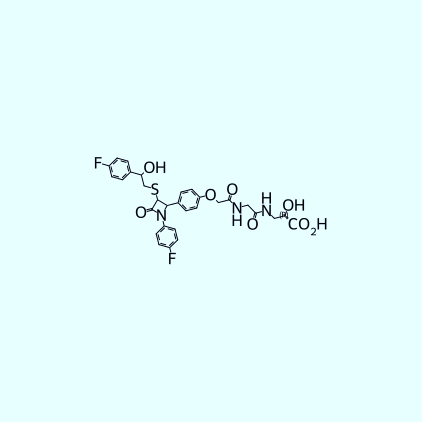 O=C(CNC(=O)COc1ccc(C2C(SCC(O)c3ccc(F)cc3)C(=O)N2c2ccc(F)cc2)cc1)NC[C@@H](O)C(=O)O